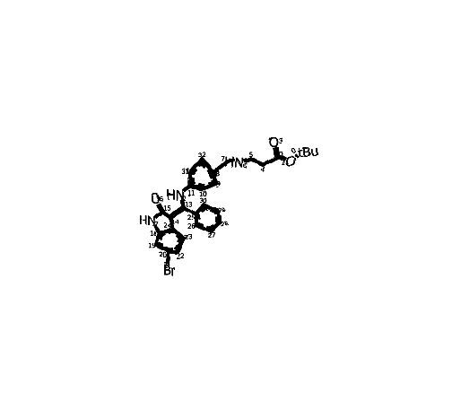 CC(C)(C)OC(=O)CCNCc1ccc(N/C(=C2\C(=O)Nc3cc(Br)ccc32)c2ccccc2)cc1